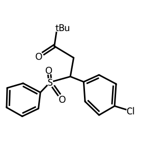 CC(C)(C)C(=O)CC(c1ccc(Cl)cc1)S(=O)(=O)c1ccccc1